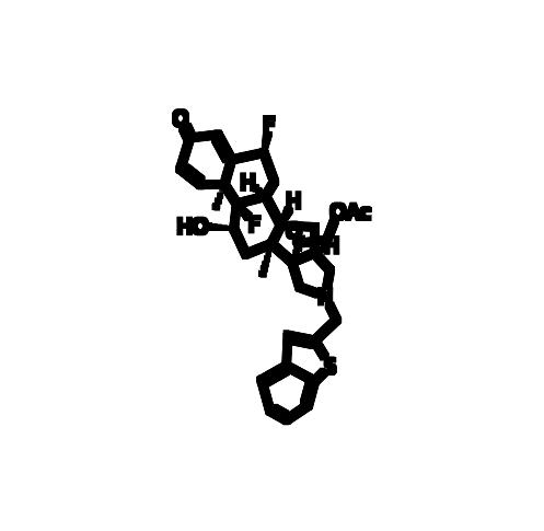 CC(=O)OCC(=O)[C@@]12CN(Cc3cc4ccccc4s3)C[C@@H]1C[C@H]1[C@@H]3C[C@H](F)C4=CC(=O)C=C[C@]4(C)[C@@]3(F)[C@@H](O)C[C@@]12C